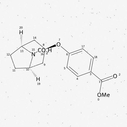 COC(=O)c1ccc(O[C@H]2C[C@H]3CC[C@@H](C2)N3C(=O)O)cc1